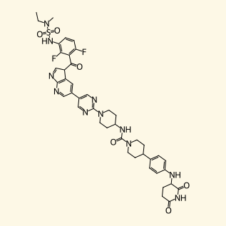 CCN(C)S(=O)(=O)Nc1ccc(F)c(C(=O)C2C=Nc3ncc(-c4cnc(N5CCC(NC(=O)N6CCC(c7ccc(NC8CCC(=O)NC8=O)cc7)CC6)CC5)nc4)cc32)c1F